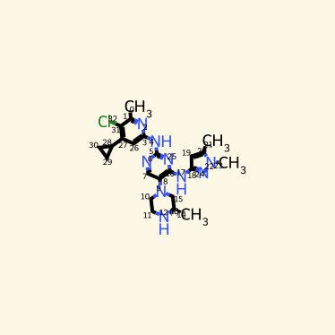 Cc1nc(Nc2ncc(N3CCN[C@H](C)C3)c(Nc3cc(C)n(C)n3)n2)cc(C2CC2)c1Cl